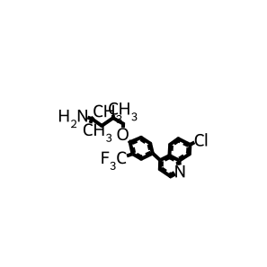 CC(COc1ccc(-c2ccnc3cc(Cl)ccc23)cc1C(F)(F)F)CC(C)(C)N